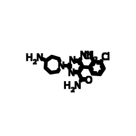 NC(=O)c1nc(N2CCCC(N)CC2)nc(N)c1-c1cccc(Cl)c1Cl